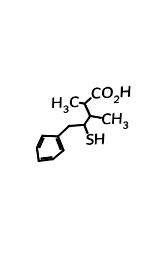 CC(C(=O)O)C(C)C(S)Cc1ccccc1